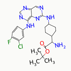 CC(C)(C)OC(=O)C(N)C1CCC(Nc2ncc3ncnc(Nc4ccc(F)c(Cl)c4)c3n2)CC1